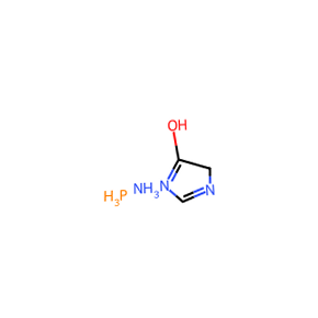 N.OC1=NC=NC1.P